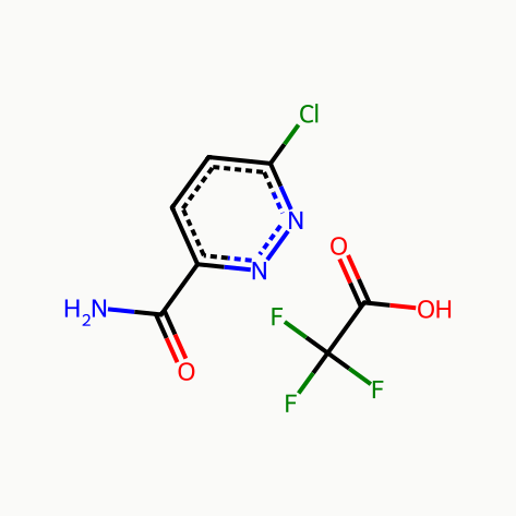 NC(=O)c1ccc(Cl)nn1.O=C(O)C(F)(F)F